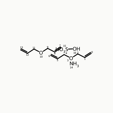 C=CCOCC=C.C=CCOCC=C.N.O=S(=O)(O)O